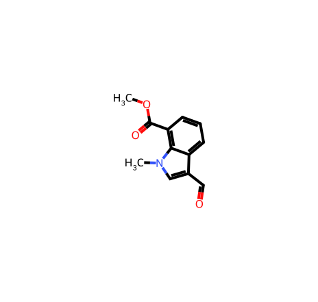 COC(=O)c1cccc2c(C=O)cn(C)c12